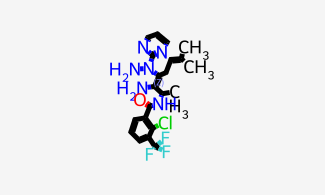 CC(C)=CC/C(=C(/N)C(C)NC(=O)c1cccc(C(F)(F)F)c1Cl)N(N)c1ncccn1